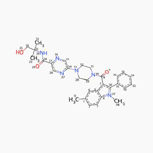 Cc1ccc2c(c1)c(C(=O)N1CCN(c3cnc(C(=O)NC(C)(C)CO)cn3)CC1)c(-c1ccccc1)n2C